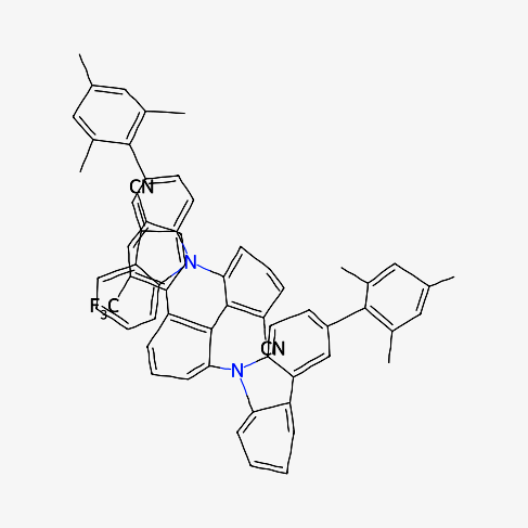 Cc1cc(C)c(-c2ccc3c(c2)c2ccccc2n3-c2cccc(C#N)c2-c2c(-c3ccc(C#N)cc3C(F)(F)F)cccc2-n2c3ccccc3c3cc(-c4c(C)cc(C)cc4C)ccc32)c(C)c1